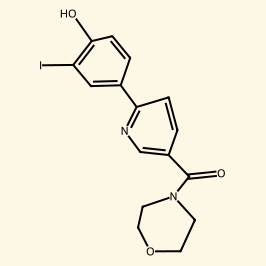 O=C(c1ccc(-c2ccc(O)c(I)c2)nc1)N1CCOCC1